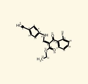 C#Cc1ccc(N/C=C(/C(=O)OCC)C(=O)c2ccccc2F)cc1